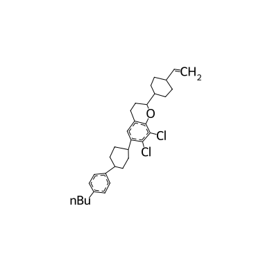 C=CC1CCC(C2CCc3cc(C4CCC(c5ccc(CCCC)cc5)CC4)c(Cl)c(Cl)c3O2)CC1